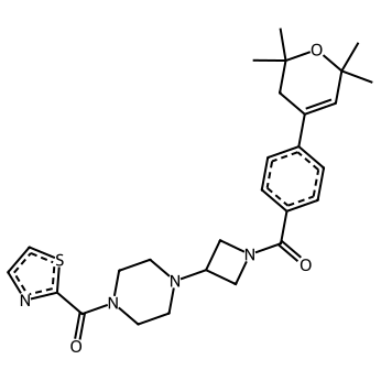 CC1(C)C=C(c2ccc(C(=O)N3CC(N4CCN(C(=O)c5nccs5)CC4)C3)cc2)CC(C)(C)O1